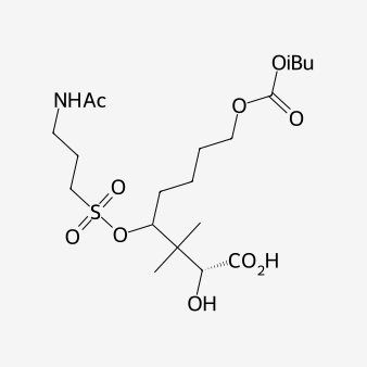 CC(=O)NCCCS(=O)(=O)OC(CCCCOC(=O)OCC(C)C)C(C)(C)[C@@H](O)C(=O)O